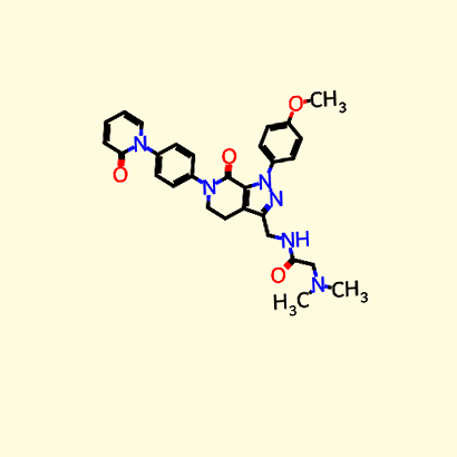 COc1ccc(-n2nc(CNC(=O)CN(C)C)c3c2C(=O)N(c2ccc(-n4ccccc4=O)cc2)CC3)cc1